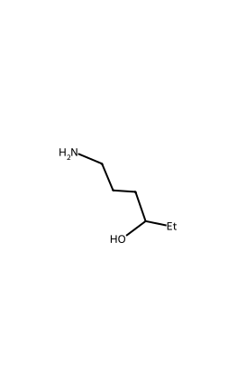 [CH2]CC(O)CCCN